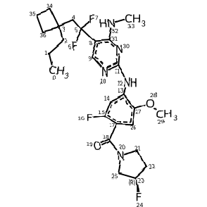 CCCC1(CC(F)(F)c2cnc(Nc3cc(F)c(C(=O)N4CC[C@@H](F)C4)cc3OC)nc2NC)CCC1